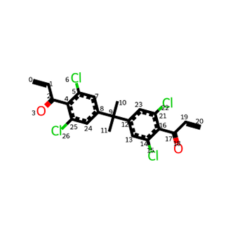 C=CC(=O)c1c(Cl)cc(C(C)(C)c2cc(Cl)c(C(=O)C=C)c(Cl)c2)cc1Cl